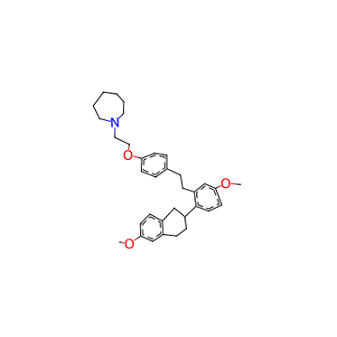 COc1ccc2c(c1)CCC(c1ccc(OC)cc1CCc1ccc(OCCN3CCCCCC3)cc1)C2